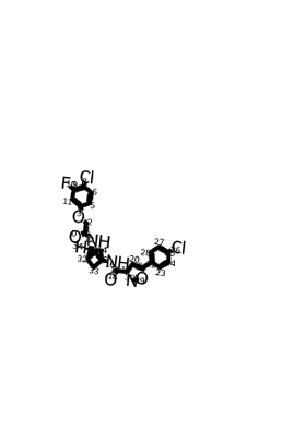 O=C(COc1ccc(Cl)c(F)c1)N[C@@H]1CC2(NC(=O)c3cc(-c4ccc(Cl)cc4)on3)CC1C2